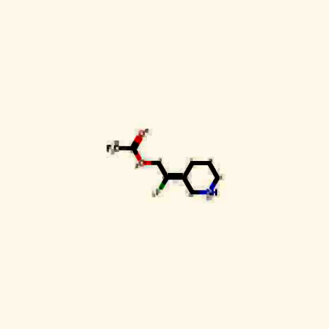 O=C(OC/C(F)=C1\CCCNC1)C(F)(F)F